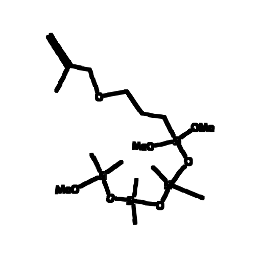 C=C(C)COCCC[Si](OC)(OC)O[Si](C)(C)O[Si](C)(C)O[Si](C)(C)OC